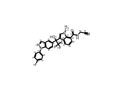 Cn1cc(C(O)(c2ccc3c(cnn3-c3ccc(F)cc3)c2)C(F)(F)F)c2cccc(C(=O)NCC#N)c21